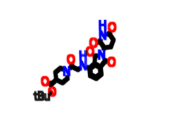 CC(C)(C)OC(=O)C1CCN(C(=O)CNc2cccc3c2C(=O)N(C2CCC(=O)NC2=O)C3=O)CC1